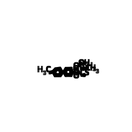 CCc1ccc(-c2ccc(S(=O)(=O)N3CCSC(C)(C)[C@@H]3C(=O)O)cc2)cc1